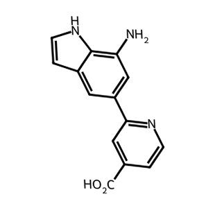 Nc1cc(-c2cc(C(=O)O)ccn2)cc2cc[nH]c12